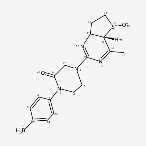 Bc1ccc(N2CCN(C3=NC4CC[S+]([O-])[C@@H]4C(C)=N3)CC2=O)cc1